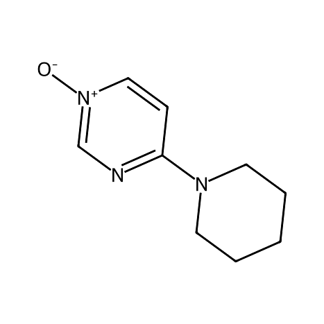 [O-][n+]1ccc(N2CCCCC2)nc1